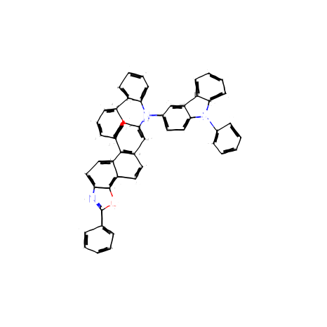 c1ccc(-c2nc3ccc4c5ccc(N(c6ccc7c(c6)c6ccccc6n7-c6ccccc6)c6ccccc6-c6ccccc6)cc5ccc4c3o2)cc1